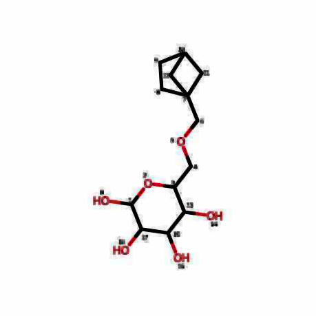 OC1OC(COCC23CCC(C2)C3)C(O)C(O)C1O